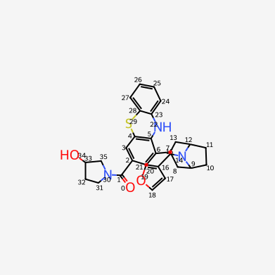 O=C(c1cc2c(c(C3CC4CCC(C3)N4Cc3ccoc3)c1)Nc1ccccc1S2)N1CCC(O)C1